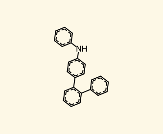 c1ccc(Nc2ccc(-c3ccccc3-c3ccccc3)cc2)cc1